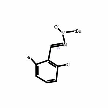 CC(C)(C)[S+]([O-])/N=C/c1c(Cl)cccc1Br